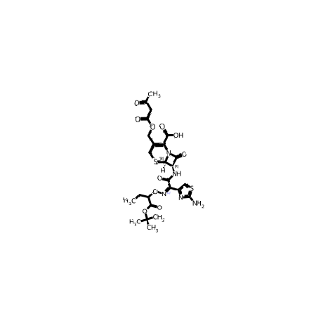 CCC(O/N=C(\C(=O)N[C@@H]1C(=O)N2C(C(=O)O)=C(COC(=O)CC(C)=O)CS[C@H]12)c1csc(N)n1)C(=O)OC(C)(C)C